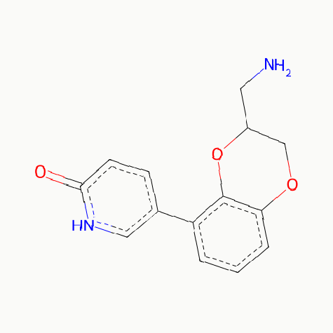 NCC1COc2cccc(-c3ccc(=O)[nH]c3)c2O1